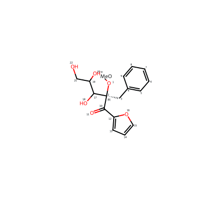 COO[C@@](Cc1ccccc1)(C(=O)c1ccco1)C(O)C(O)CO